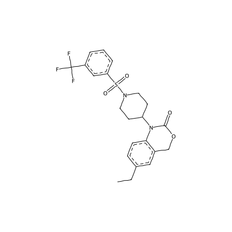 CCc1ccc2c(c1)COC(=O)N2C1CCN(S(=O)(=O)c2cccc(C(F)(F)F)c2)CC1